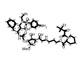 CCC(C)(C)C(=O)C(=O)N1CCCCC1C(=O)OCCCNCC(O)[C@H]1O[C@H](OC)[C@H](OC(=O)N[C@@H](Cc2ccccc2)[C@H](O)CN(CC(C)C)S(=O)(=O)c2ccc(N)cc2)[C@H]1O